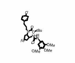 COc1cc(NC(=O)NC2CCCC2N(CCCc2ccc(Cl)cc2)C(=O)OC(C)(C)C)cc(OC)c1OC.[Fe]